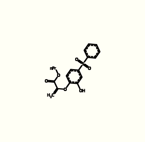 C=C(Oc1ccc(S(=O)(=O)c2ccccc2)cc1O)C(=O)OCCC